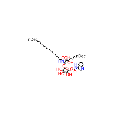 CCCCCCCCCCCCCCCCCCCCCCCCCC(=O)N[C@@H](CO[C@H]1O[C@H](COC(=O)Nc2ccnc3ccccc23)[C@H](O)[C@H](O)[C@H]1O)[C@H](O)[C@H](O)CCCCCCCCCCCCCC